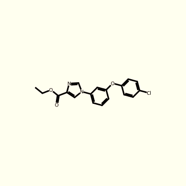 CCOC(=O)c1cn(-c2cccc(Oc3ccc(Cl)cc3)c2)cn1